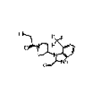 O=CC1Nc2cccc(C(F)(F)F)c2N1C1CCN(C(=O)CCl)CC1